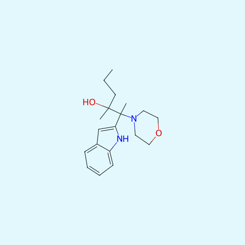 CCCC(C)(O)C(C)(c1cc2ccccc2[nH]1)N1CCOCC1